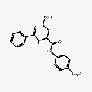 CCOC(=O)c1ccc(NC(=O)C(CCC(=O)O)NC(=O)c2ccccc2)cc1